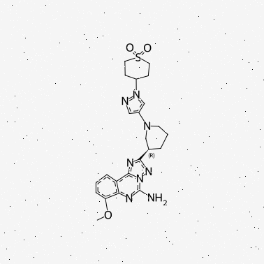 COc1cccc2c1nc(N)n1nc([C@@H]3CCCN(c4cnn(C5CCS(=O)(=O)CC5)c4)C3)nc21